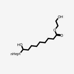 CCCCCCCC(O)CCCCCCCC(=O)OCCO